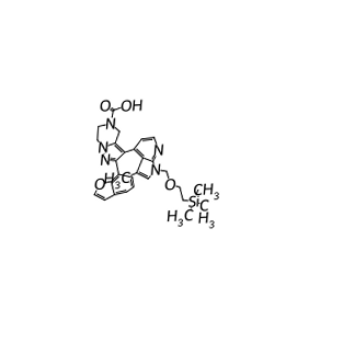 Cc1cn(COCC[Si](C)(C)C)c2nccc(-c3c(-c4cccc5ccoc45)nn4c3CN(C(=O)O)CC4)c12